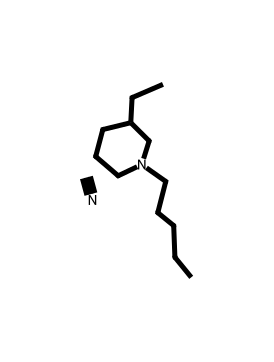 C#N.CCCCCN1CCCC(CC)C1